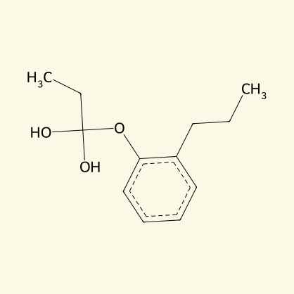 CCCc1ccccc1OC(O)(O)CC